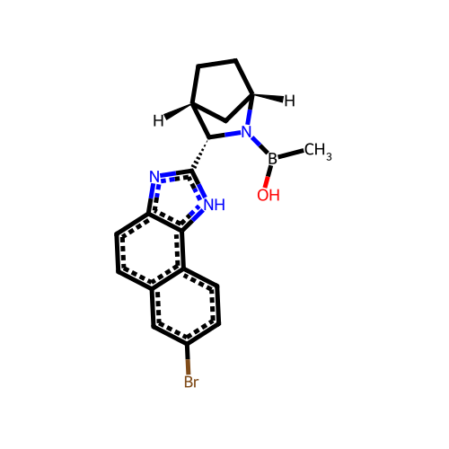 CB(O)N1[C@H]2CC[C@H](C2)[C@H]1c1nc2ccc3cc(Br)ccc3c2[nH]1